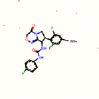 COc1cc(F)c(C2CN3C(=O)CON=C3C2NC(=O)Nc2ccc(F)cc2)c(F)c1